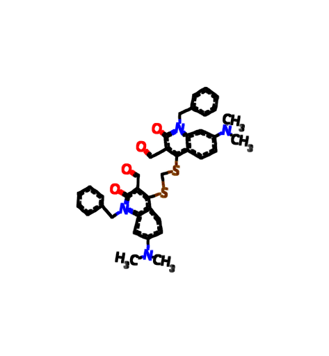 CN(C)c1ccc2c(SCSc3c(C=O)c(=O)n(Cc4ccccc4)c4cc(N(C)C)ccc34)c(C=O)c(=O)n(Cc3ccccc3)c2c1